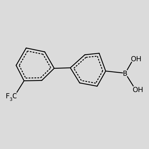 OB(O)c1ccc(-c2cccc(C(F)(F)F)c2)cc1